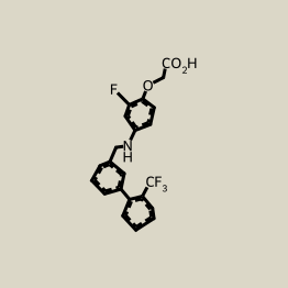 O=C(O)COc1ccc(NCc2cccc(-c3ccccc3C(F)(F)F)c2)cc1F